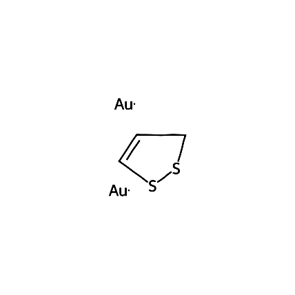 C1=CSSC1.[Au].[Au]